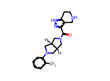 O=C(c1n[nH]c2c1CNCC2)N1C[C@@H]2CN(c3ccccc3C(F)(F)F)C[C@@H]2C1